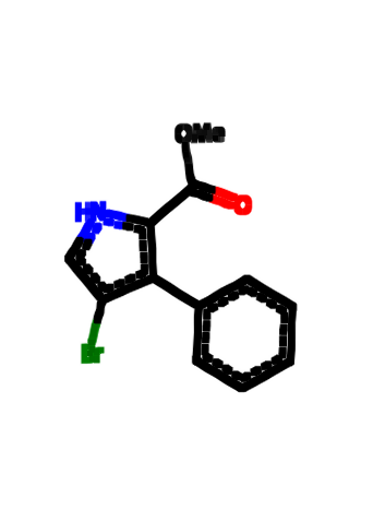 COC(=O)c1[nH]cc(Br)c1-c1ccccc1